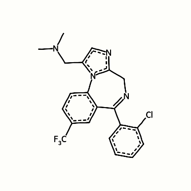 CN(C)Cc1cnc2n1-c1ccc(C(F)(F)F)cc1C(c1ccccc1Cl)=NC2